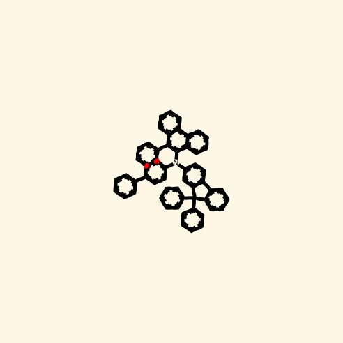 c1ccc(-c2ccc(N(c3ccc4c(c3)C(c3ccccc3)(c3ccccc3)c3ccccc3-4)c3c(-c4ccccc4)c4ccccc4c4ccccc34)cc2)cc1